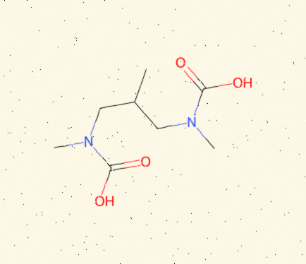 CC(CN(C)C(=O)O)CN(C)C(=O)O